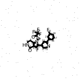 O=C1NCCc2c1c(F)c(-c1ccnc(-c3cccc(F)c3)c1)n2OC(=O)C(F)(F)F